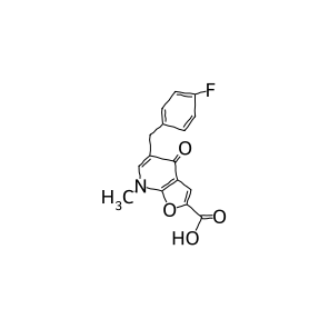 Cn1cc(Cc2ccc(F)cc2)c(=O)c2cc(C(=O)O)oc21